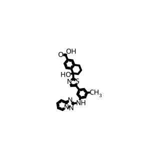 Cc1cc(Nc2nc3ccccn3n2)cc(-c2cnc(C3(O)CCCc4cc(C(=O)O)ccc43)s2)c1